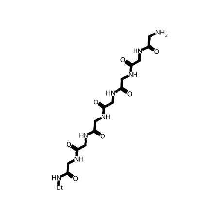 CCNC(=O)CNC(=O)CNC(=O)CNC(=O)CNC(=O)CNC(=O)CNC(=O)CN